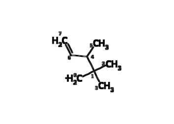 [CH2]C(C)(C)C(C)C=C